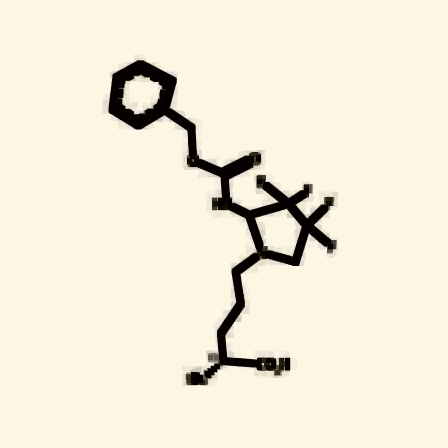 CC(C)(C)[C@H](CCCN1CC(F)(F)C(F)(F)C1NC(=O)OCc1ccccc1)C(=O)O